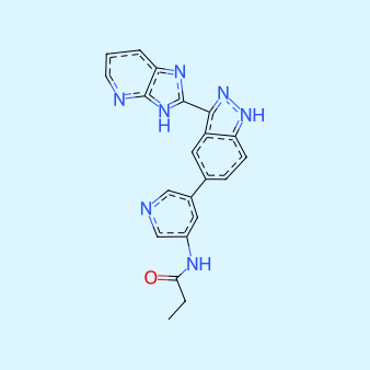 CCC(=O)Nc1cncc(-c2ccc3[nH]nc(-c4nc5cccnc5[nH]4)c3c2)c1